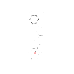 Cc1cc(OCC(=O)OCC23COP(=O)(OC2)OC3)ccc1Cl